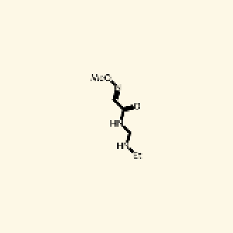 CCNCNC(=O)C=NOC